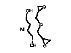 C(OCC1CO1)C1CO1.OCCCCO.[Ni]